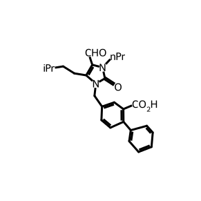 CCCn1c(C=O)c(CCC(C)C)n(Cc2ccc(-c3ccccc3)c(C(=O)O)c2)c1=O